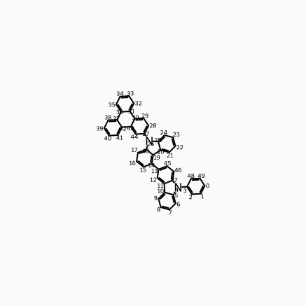 c1ccc(-n2c3ccccc3c3cc(-c4cccc5c4c4ccccc4n5-c4ccc5c6ccccc6c6ccccc6c5c4)ccc32)cc1